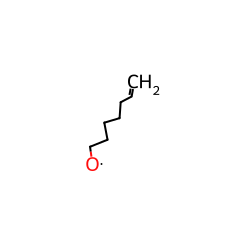 C=CCCCCC[O]